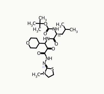 CC(C)C[C@H](NC(=O)OC(C)(C)C)C(=O)NC(C(=O)C(=O)N/N=C1\SCCN1C)C1CCOCC1